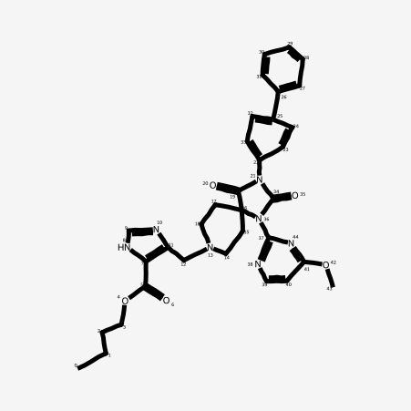 CCCCOC(=O)c1[nH]cnc1CN1CCC2(CC1)C(=O)N(c1ccc(-c3ccccc3)cc1)C(=O)N2c1nccc(OC)n1